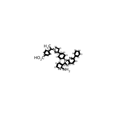 CC(c1ccc(C(=O)O)cc1)N1CCC(c2ccc(-n3c(-c4cccnc4N)nc4ccc(-c5ccccc5)nc43)cc2)C1